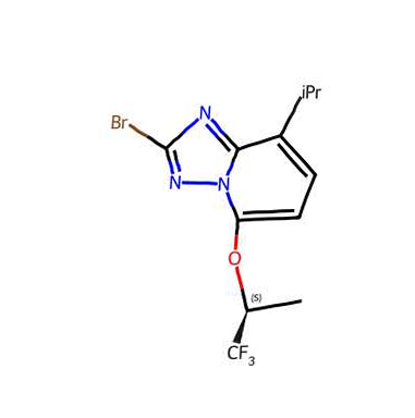 CC(C)c1ccc(O[C@@H](C)C(F)(F)F)n2nc(Br)nc12